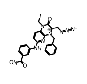 [N-]=[N+]=NC[C@@H]1C(=O)N(CI)c2ccc(Nc3cccc(C(=O)N=O)c3)nc2N1Cc1ccccc1